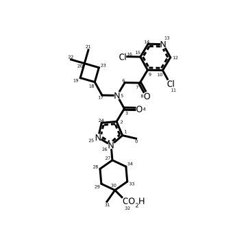 Cc1c(C(=O)N(CC(=O)c2c(Cl)cncc2Cl)CC2CC(C)(C)C2)cnn1C1CCC(C)(C(=O)O)CC1